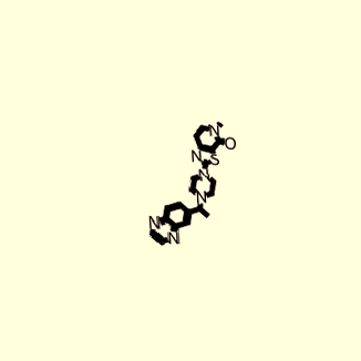 CC(c1ccc2nccnc2c1)N1CCN(c2nc3c(s2)C(=O)N(C)CC3)CC1